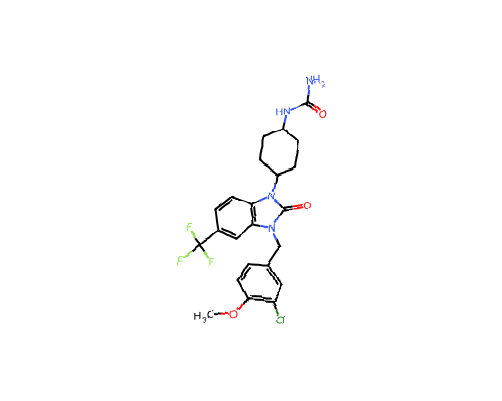 COc1ccc(Cn2c(=O)n(C3CCC(NC(N)=O)CC3)c3ccc(C(F)(F)F)cc32)cc1Cl